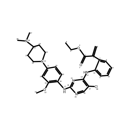 C=C(C(=O)OCC)c1ccccc1Nc1nc(Nc2ccc(N3CCC(N(C)C)CC3)cc2OC)ncc1Cl